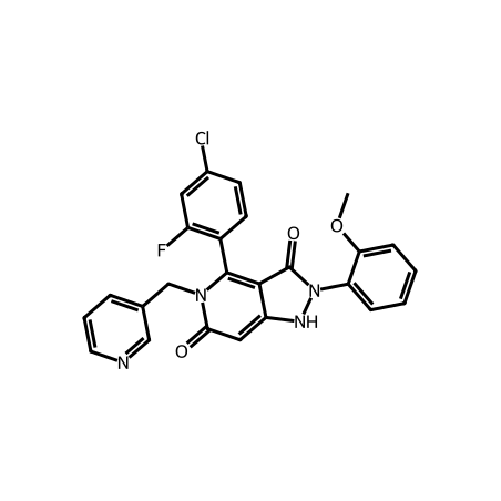 COc1ccccc1-n1[nH]c2cc(=O)n(Cc3cccnc3)c(-c3ccc(Cl)cc3F)c2c1=O